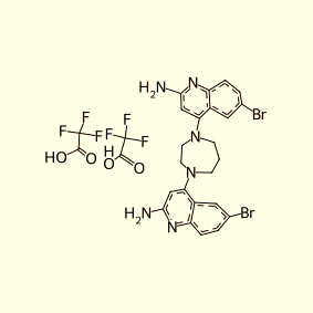 Nc1cc(N2CCCN(c3cc(N)nc4ccc(Br)cc34)CC2)c2cc(Br)ccc2n1.O=C(O)C(F)(F)F.O=C(O)C(F)(F)F